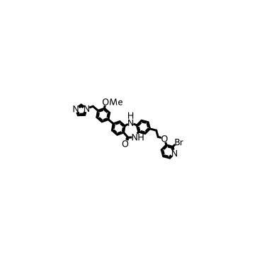 COc1cc(-c2ccc3c(c2)Nc2ccc(CCOc4cccnc4Br)cc2NC3=O)ccc1Cn1ccnc1